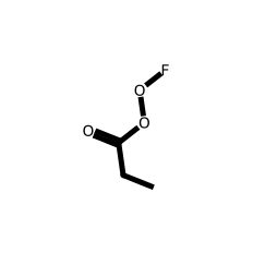 CCC(=O)OOF